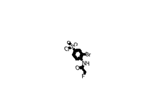 O=C(CF)Nc1ccc(S(=O)(=O)Cl)cc1Br